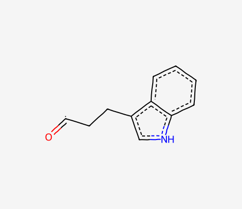 O=[C]CCc1c[nH]c2ccccc12